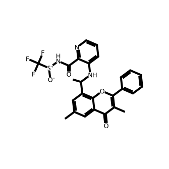 Cc1cc(C(C)Nc2cccnc2C(=O)N[S+]([O-])C(F)(F)F)c2oc(-c3ccccc3)c(C)c(=O)c2c1